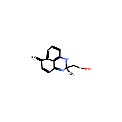 C=c1ccc2c3c(cccc13)NC(C)(CCO)N=2